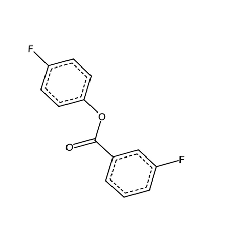 O=C(Oc1ccc(F)cc1)c1cccc(F)c1